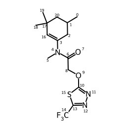 CC1CC(N(C)C(=O)COc2nnc(C(F)(F)F)s2)=CC(C)(C)C1